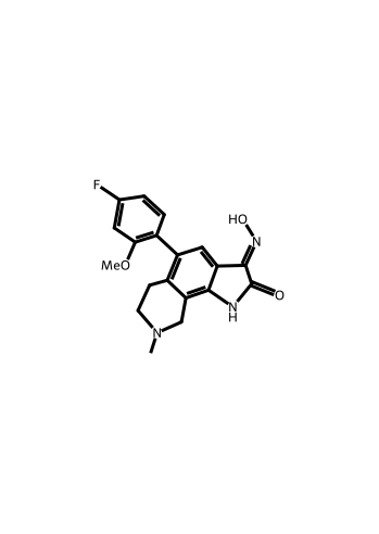 COc1cc(F)ccc1-c1cc2c(c3c1CCN(C)C3)NC(=O)/C2=N/O